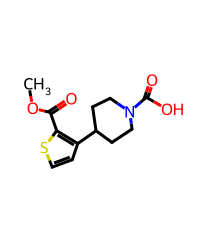 COC(=O)c1sccc1C1CCN(C(=O)O)CC1